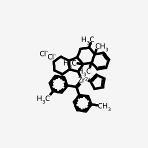 Cc1cccc([C](c2cccc(C)c2)=[Zr+2]([C]2=CC=CC2)[CH]2C3CCCCC3C3CC(C)C4(C)C=CC=CC4(C)C32C)c1.[Cl-].[Cl-]